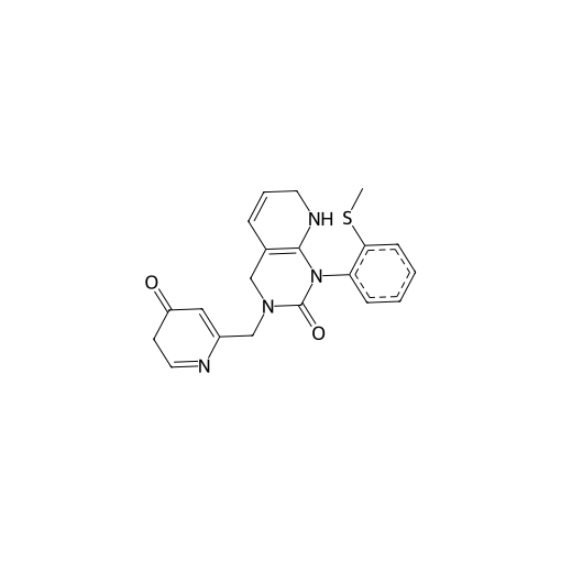 CSc1ccccc1N1C(=O)N(CC2=CC(=O)CC=N2)CC2=C1NCC=C2